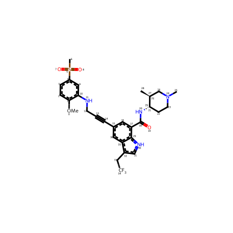 COc1ccc(S(C)(=O)=O)cc1NCC#Cc1cc(C(=O)N[C@H]2CCN(C)C[C@@H]2C)c2[nH]cc(CC(F)(F)F)c2c1